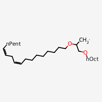 [CH2]C(COCCCCCCCC)OCCCCCCCC/C=C\C/C=C\CCCCC